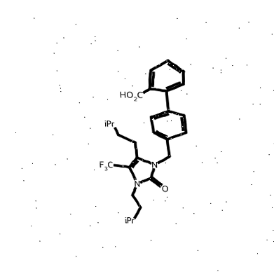 CC(C)CCc1c(C(F)(F)F)n(CCC(C)C)c(=O)n1Cc1ccc(-c2ccccc2C(=O)O)cc1